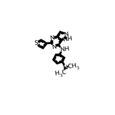 CN(C)c1cccc(Nc2nc(-c3ccsc3)nc3cn[nH]c23)c1